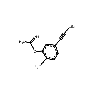 CC(=N)Oc1cc(C#CC(C)(C)C)ccc1C